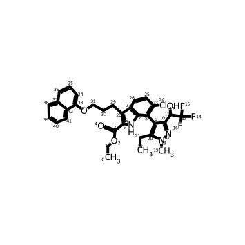 CCOC(=O)c1[nH]c2c(-c3c(C(O)C(F)(F)F)nn(C)c3CC)c(Cl)ccc2c1CCCOc1cccc2ccccc12